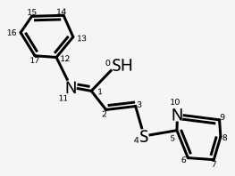 SC(C=CSc1ccccn1)=Nc1ccccc1